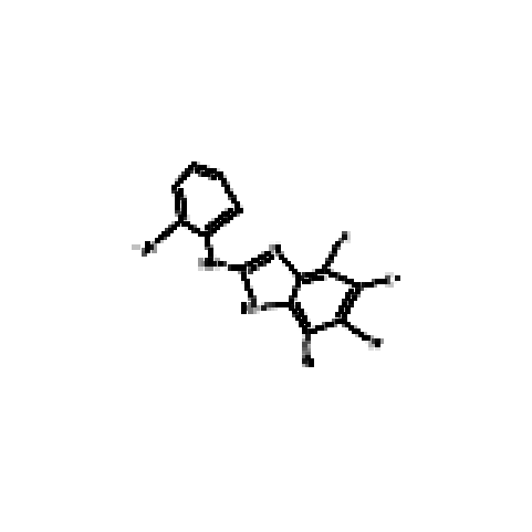 Nc1ccccc1Nc1nc2c(Br)c(Br)c(Br)c(Br)c2[nH]1